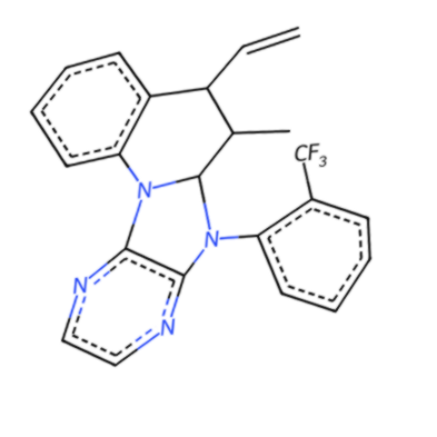 C=CC1c2ccccc2N2c3nccnc3N(c3ccccc3C(F)(F)F)C2C1C